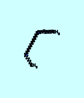 CCCCCCCC/C=C\CCCCCCCCCCC[CH]CCCCC/C=C\CCCCCCCCCCC